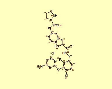 Nc1cc(Cl)cc(Oc2c(Cl)ccc(CNC(=O)c3cc4cc(NC(=O)C5CCCN5)ccc4[nH]3)c2F)c1